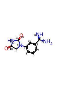 N=C(N)c1cccc(N2CC(=O)NC2=O)c1